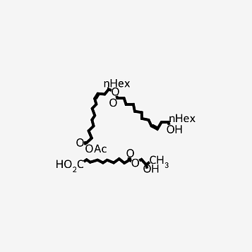 CC(O)COC(=O)CCCCCCCCC(=O)O.CCCCCC[C@@H](O)C/C=C\CCCCCCCC(=O)O[C@@H](C/C=C\CCCCCCCC(=O)OC(C)=O)CCCCCC